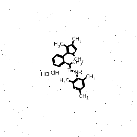 CC1=CC(C)C(c2ccccc2[CH](C)[Ti][NH]c2c(C)cc(C)cc2C)=C1C.Cl.Cl